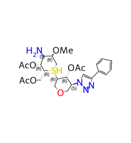 CO[C@H]1C[SH]([C@@H]2COC[C@H](n3cc(-c4ccccc4)nn3)[C@H]2OC(C)=O)[C@H](COC(C)=O)[C@H](OC(C)=O)[C@H]1N